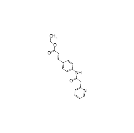 CCOC(=O)C=Cc1ccc(NC(=O)Cc2ccccn2)cc1